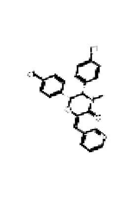 CN1C(=O)/C(=C\c2cccnc2)O[C@H](c2ccc(Cl)cc2)[C@@H]1c1ccc(Cl)cc1